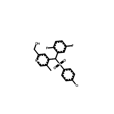 Cc1cnc(CO)cc1C(c1cc(F)ccc1F)S(=O)(=O)c1ccc(Cl)cc1